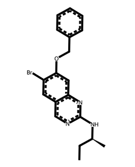 CC[C@H](C)Nc1ncc2cc(Br)c(OCc3ccccc3)cc2n1